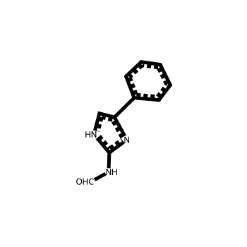 O=CNc1nc(-c2ccccc2)c[nH]1